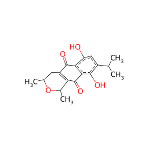 CC1CC2=C(C(=O)c3c(O)c(C(C)C)cc(O)c3C2=O)C(C)O1